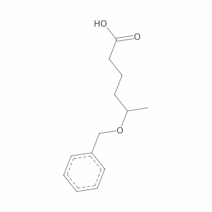 CC(CCCC(=O)O)OCc1ccccc1